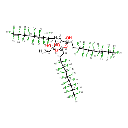 CC[Si](O)(CCC(F)(F)C(F)(F)C(F)(F)C(F)(F)C(F)(F)C(F)(F)C(F)(F)C(F)(F)F)O[Si](O)(CCC(F)(F)C(F)(F)C(F)(F)C(F)(F)C(F)(F)C(F)(F)C(F)(F)C(F)(F)F)O[Si](O)(CC)CCC(F)(F)C(F)(F)C(F)(F)C(F)(F)C(F)(F)C(F)(F)C(F)(F)C(F)(F)F